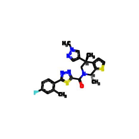 Cc1cc(F)ccc1-c1nnc(C(=O)N2C[C@](C)(c3cnn(C)c3)c3ccsc3[C@@H]2C)s1